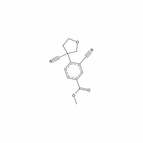 COC(=O)c1ccc(C2(C#N)CCOC2)c(C#N)c1